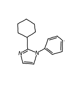 [c]1ccc(-n2ccnc2C2CCCCC2)cc1